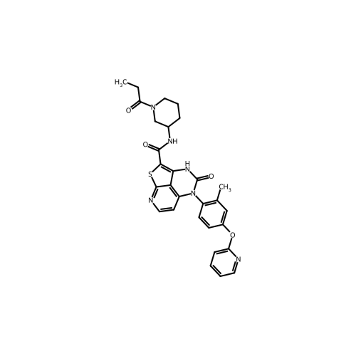 CCC(=O)N1CCCC(NC(=O)c2sc3nccc4c3c2NC(=O)N4c2ccc(Oc3ccccn3)cc2C)C1